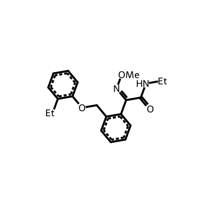 CCNC(=O)C(=NOC)c1ccccc1COc1ccccc1CC